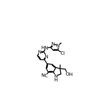 Cn1nc(Nc2nccc(-c3cc(C#N)c4c(c3)C(C)(CO)CN4)n2)cc1Cl